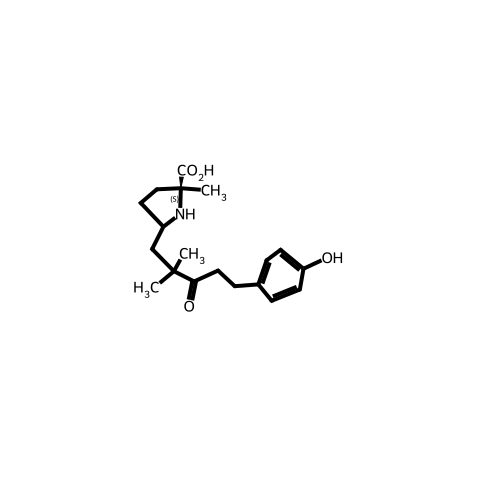 CC(C)(CC1CC[C@@](C)(C(=O)O)N1)C(=O)CCc1ccc(O)cc1